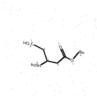 CCC(C)OC(=O)CC(CC(=O)O)NC(C)=O